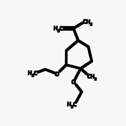 C=C(C)C1CCC(C)(OCC)C(OCC)C1